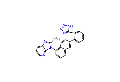 CCCCc1nc2cccnc2n1-c1cccc2cc(-c3ccccc3-c3nnn[nH]3)ccc12